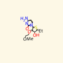 CC[C@H]1S[C@@H](n2ccc(N)nc2=O)[C@@H](OCCOC)C1O